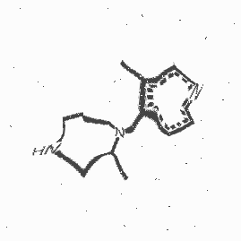 Cc1[c]nccc1N1CCNCC1C